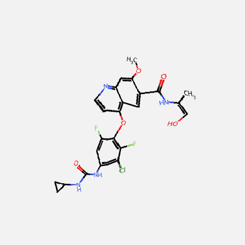 COc1cc2nccc(Oc3c(F)cc(NC(=O)NC4CC4)c(Cl)c3F)c2cc1C(=O)N/C(C)=C\O